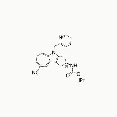 CC(C)OC(=O)N[C@H]1Cc2c(n(Cc3ccccn3)c3c2=CC(C#N)=CCC=3)C1